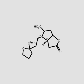 CCCCCC1(CC[C@H]2C(C(=O)O)CC3OC(=O)C[C@@H]32)OCCO1